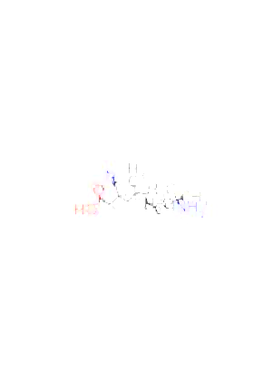 CC(C)(C)N.CCC[C@@H](C)C[C@H](C#N)CC(=O)O